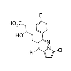 CC(C)c1c(/C=C/C(O)CC(=O)O)c(-c2ccc(F)cc2)nn2c(Cl)ccc12